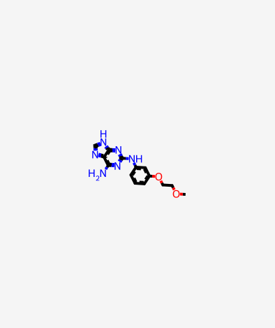 COCCOc1cccc(Nc2nc(N)c3nc[nH]c3n2)c1